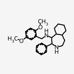 COc1ccc(OC)c(CNC2C(c3ccccc3)NCCC3CCCCC32)c1